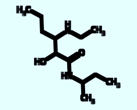 CCCC(NCC)C(O)C(=O)NC(C)CC